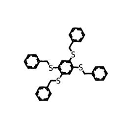 c1ccc(CSc2cc(SCc3ccccc3)c(SCc3ccccc3)cc2SCc2ccccc2)cc1